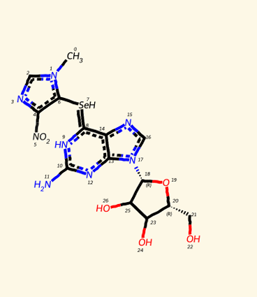 Cn1cnc([N+](=O)[O-])c1[SeH]=c1[nH]c(N)nc2c1ncn2[C@@H]1O[C@H](CO)C(O)C1O